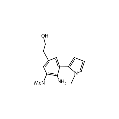 CNc1cc(CCO)cc(-c2cccn2C)c1N